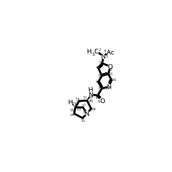 CC(=O)N(C)c1cc2cc(C(=O)N[C@@H]3C[C@@H]4CCN(C4)C3)ncc2o1